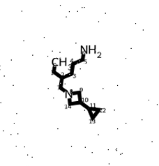 CCC(CCCN)CN1CC(C2CC2)C1